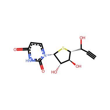 C#CC(O)[C@H]1S[C@@H](n2ccc(=O)[nH]c2=O)[C@@H](O)[C@@H]1O